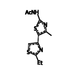 CCc1nc(-c2sc(NC(C)=O)nc2C)cs1